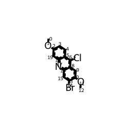 COc1ccc2c(Cl)c3cc(OC)c(Br)cc3nc2c1